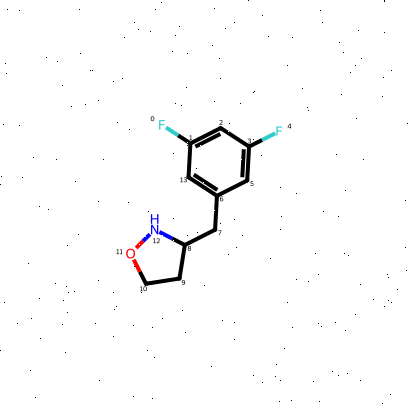 Fc1cc(F)cc(CC2CCON2)c1